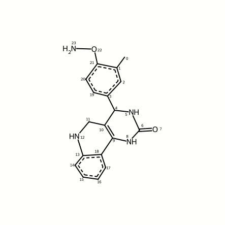 Cc1cc(C2NC(=O)NC3=C2CNc2ccccc23)ccc1ON